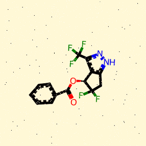 O=C(O[C@H]1c2c(C(F)(F)F)n[nH]c2CC1(F)F)c1ccccc1